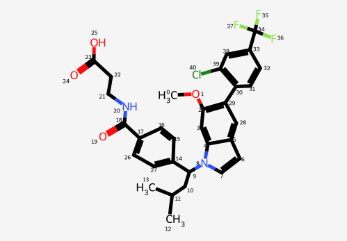 COc1cc2c(ccn2C(CC(C)C)c2ccc(C(=O)NCCC(=O)O)cc2)cc1-c1ccc(C(F)(F)F)cc1Cl